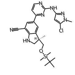 Cn1nc(Nc2nccc(-c3cc(C#N)c4c(c3)[C@@](C)(CO[Si](C)(C)C(C)(C)C)CN4)n2)cc1Cl